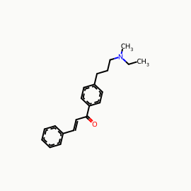 CCN(C)CCCc1ccc(C(=O)C=Cc2ccccc2)cc1